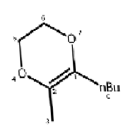 CCCCC1=C(C)OCCO1